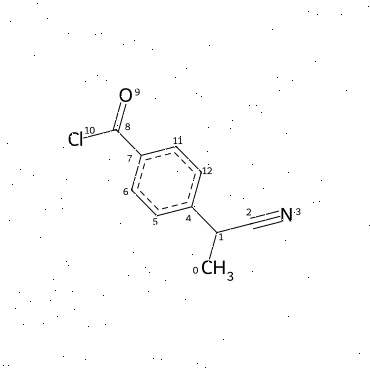 CC(C#N)c1ccc(C(=O)Cl)cc1